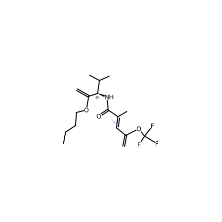 C=C(/C=C(\C)C(=O)N[C@@H](C(=C)OCCCC)C(C)C)OC(F)(F)F